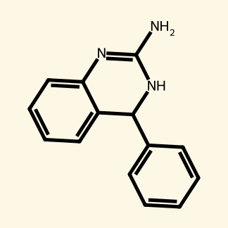 NC1=Nc2ccccc2C(c2ccccc2)N1